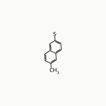 Cc1ccc2cc([S])ccc2c1